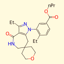 CCCOC(=O)c1ccc(CC)c(-n2nc(CC)c3c2CC2(CCOCC2)CNC3=O)c1